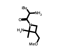 CCC(C)C(N)C(=O)N1CC(COC)C1(C)N